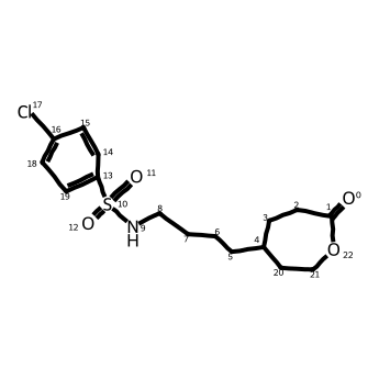 O=C1CCC(CCCCNS(=O)(=O)c2ccc(Cl)cc2)CCO1